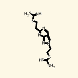 N=C(N)SCCc1ncc2cn(CCSC(=N)N)nc2n1